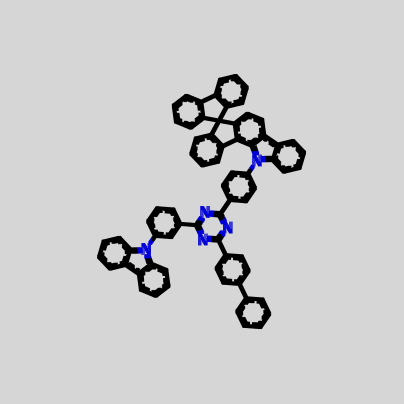 c1ccc(-c2ccc(-c3nc(-c4ccc(-n5c6ccccc6c6ccc7c(c65)-c5ccccc5C75c6ccccc6-c6ccccc65)cc4)nc(-c4cccc(-n5c6ccccc6c6ccccc65)c4)n3)cc2)cc1